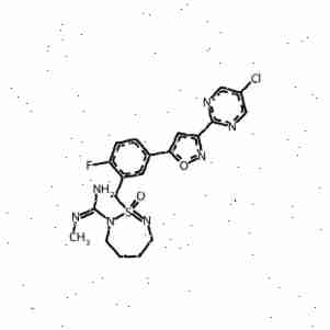 C/N=C(/N)N1CCCCN=S1(=O)Cc1cc(-c2cc(-c3ncc(Cl)cn3)no2)ccc1F